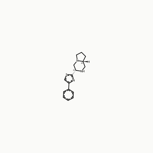 c1ccc(-c2csc([C@@H]3CN4CCC[C@@H]4CN3)n2)cc1